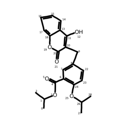 CC(C)OC(=O)c1cc(Cc2c(O)c3ccccc3oc2=O)ccc1OC(C)C